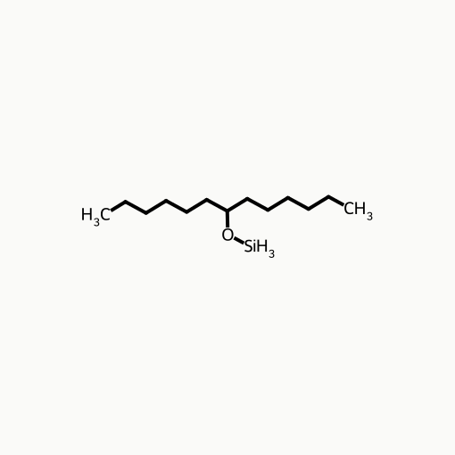 CCCCCCC(CCCCCC)O[SiH3]